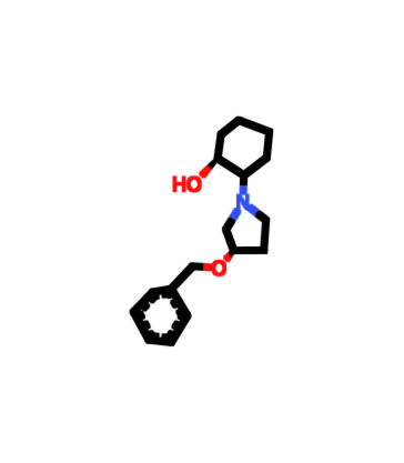 O[C@H]1CCCCC1N1CC[C@@H](OCc2ccccc2)C1